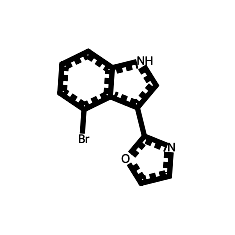 Brc1cccc2[nH]cc(-c3ncco3)c12